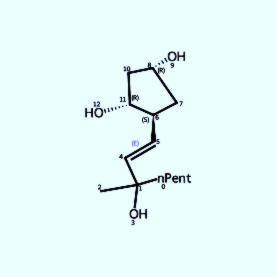 CCCCCC(C)(O)/C=C/[C@@H]1C[C@@H](O)C[C@H]1O